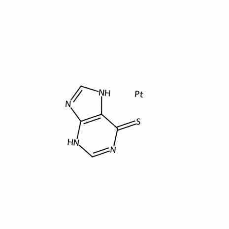 S=c1nc[nH]c2nc[nH]c12.[Pt]